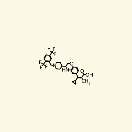 CC(C(=O)O)=C(c1ccc2c(c1)NC(C1CCN(Cc3cc(C(F)(F)F)ccc3C(F)(F)F)CC1)CO2)C1CC1